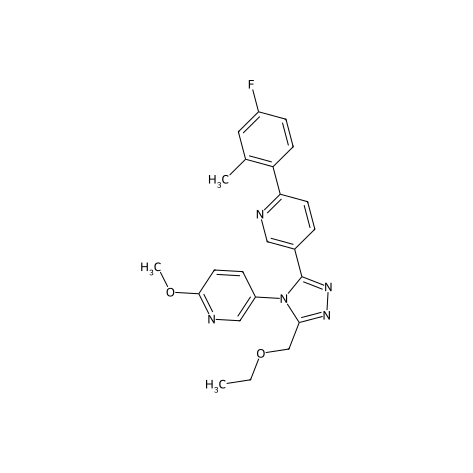 CCOCc1nnc(-c2ccc(-c3ccc(F)cc3C)nc2)n1-c1ccc(OC)nc1